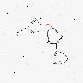 Bc1ccc2oc3ccc(-c4ccccc4)cc3c2c1